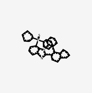 S=P(c1ccccc1)(c1ccccc1)c1cccc2nc3c4ccc5ccccc5c4c4ccccc4n3c12